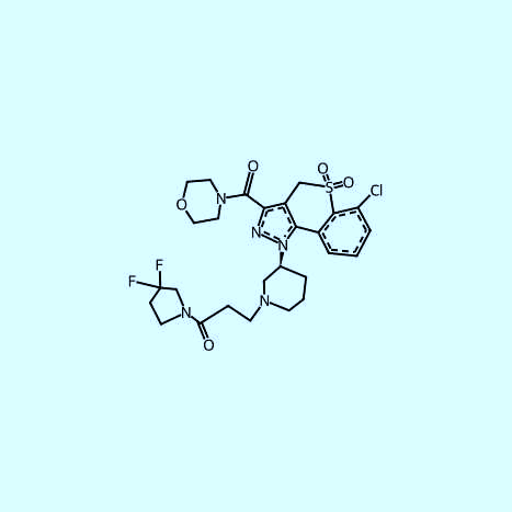 O=C(CCN1CCC[C@H](n2nc(C(=O)N3CCOCC3)c3c2-c2cccc(Cl)c2S(=O)(=O)C3)C1)N1CCC(F)(F)C1